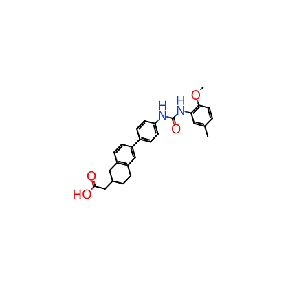 COc1ccc(C)cc1NC(=O)Nc1ccc(-c2ccc3c(c2)CCC(CC(=O)O)C3)cc1